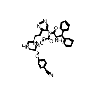 COC(=O)N(C(=O)[C@@H](N)C(c1ccccc1)c1ccccc1)c1cncnc1CC[C@@H]1CNC[C@@H](COc2ccc(C#N)cc2)O1